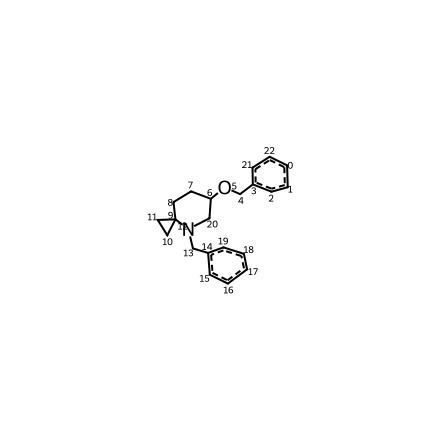 c1ccc(COC2CCC3(CC3)N(Cc3ccccc3)C2)cc1